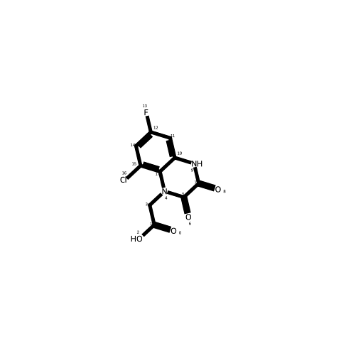 O=C(O)Cn1c(=O)c(=O)[nH]c2cc(F)cc(Cl)c21